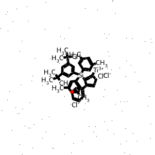 Cc1cc(C)cc([Si](C2=[C]([Ti+3])CC=C2c2ccccc2)(c2cc(C)cc(C)c2)c2cc(C(C)(C)C)cc(C(C)(C)C)c2)c1.[Cl-].[Cl-].[Cl-]